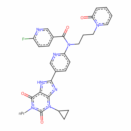 CCCn1c(=O)c2[nH]c(-c3ccc(N(CCCn4ccccc4=O)C(=O)c4ccc(F)nc4)nc3)nc2n(C2CC2)c1=O